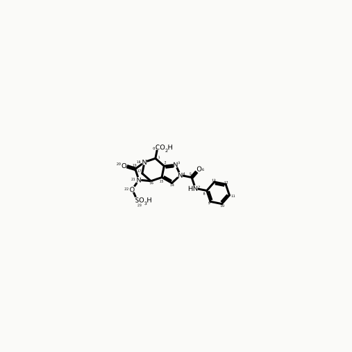 O=C(O)C1c2nn(C(=O)Nc3ccccc3)cc2C2CN1C(=O)N2OS(=O)(=O)O